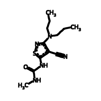 CCCN(CCC)c1nsc(NC(=O)NC)c1C#N